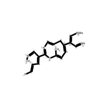 C\N=C/C(=C\C=C\F)C1=N/C=C/CC(/C(C=N)=C/NC)=C\C=C(/C)S\1